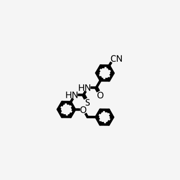 N#Cc1ccc(C(=O)NC(=S)Nc2ccccc2OCc2ccccc2)cc1